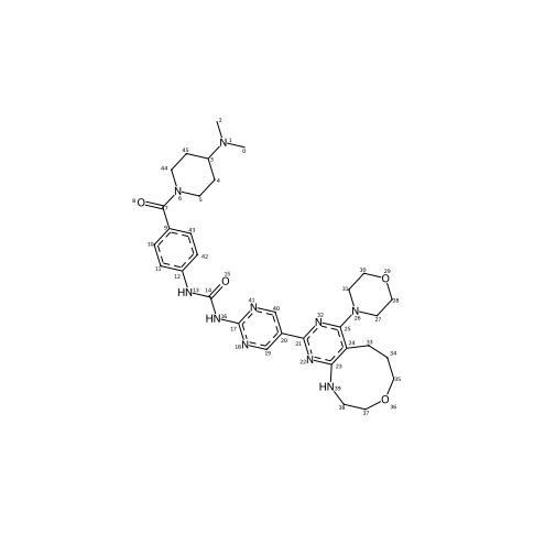 CN(C)C1CCN(C(=O)c2ccc(NC(=O)Nc3ncc(-c4nc5c(c(N6CCOCC6)n4)CCCOCCN5)cn3)cc2)CC1